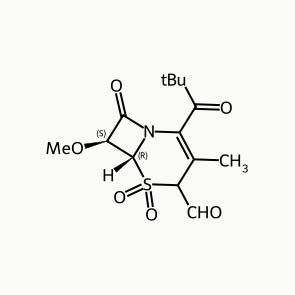 CO[C@H]1C(=O)N2C(C(=O)C(C)(C)C)=C(C)C(C=O)S(=O)(=O)[C@H]12